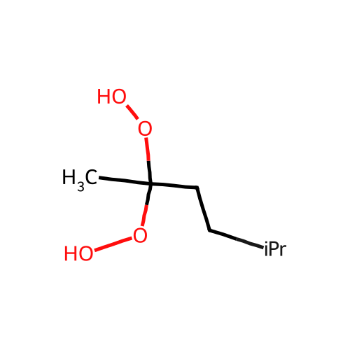 CC(C)CCC(C)(OO)OO